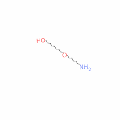 NCCCCCCCOCCCCCCCCCO